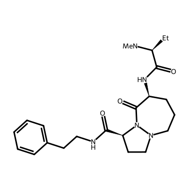 CC[C@H](NC)C(=O)N[C@H]1CCCN2CC[C@@H](C(=O)NCCc3ccccc3)N2C1=O